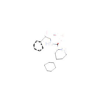 O=C(N[C@@H](CO)[C@H](O)c1ccccc1)[C@@H]1C[C@@H](C2CCCCC2)CCN1